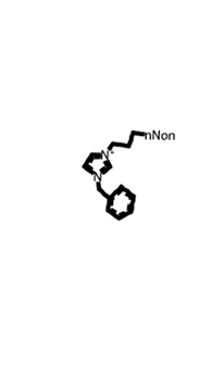 CCCCCCCCCCCC[n+]1ccn(Cc2ccccc2)c1